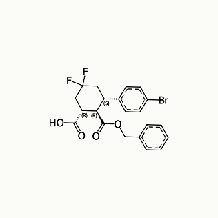 O=C(OCc1ccccc1)[C@@H]1[C@@H](c2ccc(Br)cc2)CC(F)(F)C[C@H]1C(=O)O